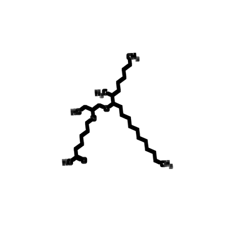 CCCCCCCCCCCC(OCC(CO)OCCCCCC(=O)O)C(C)CCCCCC